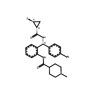 CC(C)c1ccc([C@@H](NC(=O)[C@H]2C[C@@H]2F)c2ccccc2NC(=O)C2CCN(C)CC2)cc1